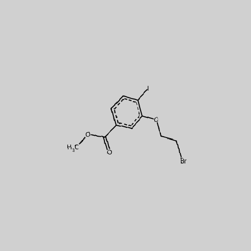 COC(=O)c1ccc(I)c(OCCBr)c1